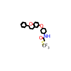 O=C(CSC(F)(F)F)NC1CCC(Oc2ccc3c(c2)CCC(c2ccccc2)O3)CC1